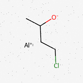 CC([O-])CCCl.[Al+]